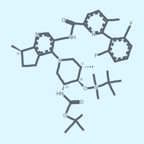 Cc1ccc(C(=O)Nc2cnc3c(c2N2C[C@H](C)[C@@H](O[Si](C)(C)C(C)(C)C)[C@H](NC(=O)OC(C)(C)C)C2)CC[C@H]3C)nc1-c1c(F)cccc1F